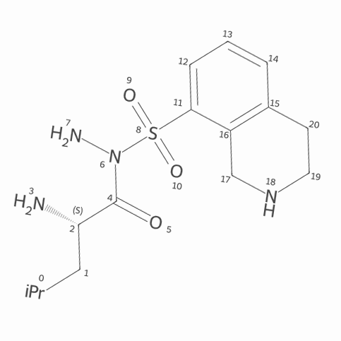 CC(C)C[C@H](N)C(=O)N(N)S(=O)(=O)c1cccc2c1CNCC2